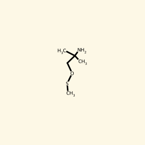 CSOCC(C)(C)N